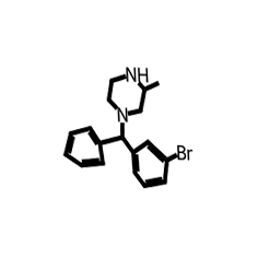 CC1CN(C(c2ccccc2)c2cccc(Br)c2)CCN1